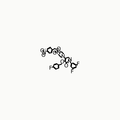 O=c1c(OCc2ccc(F)cc2)c(N2CCN(S(=O)(=O)Cc3ccc([N+](=O)[O-])cc3)CC2)cnn1-c1cc(F)cc(F)c1